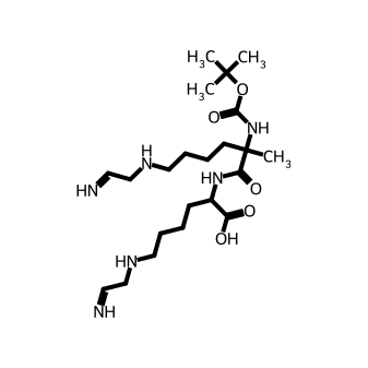 CC(C)(C)OC(=O)NC(C)(CCCCNCC=N)C(=O)NC(CCCCNCC=N)C(=O)O